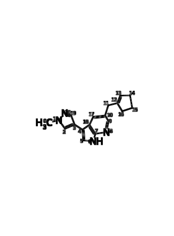 Cn1cc(-c2c[nH]c3ncc(CC4=CCCC4)cc23)cn1